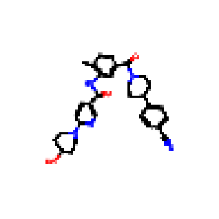 Cc1ccc(C(=O)N2CCC(c3ccc(C#N)cc3)CC2)cc1NC(=O)c1ccc(N2CCC(O)CC2)nc1